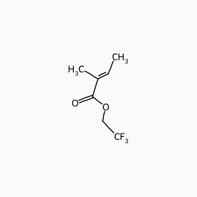 CC=C(C)C(=O)OCC(F)(F)F